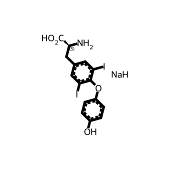 N[C@@H](Cc1cc(I)c(Oc2ccc(O)cc2)c(I)c1)C(=O)O.[NaH]